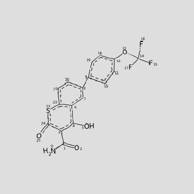 NC(=O)c1c(O)c2cc(-c3ccc(OC(F)(F)F)cc3)ccc2sc1=O